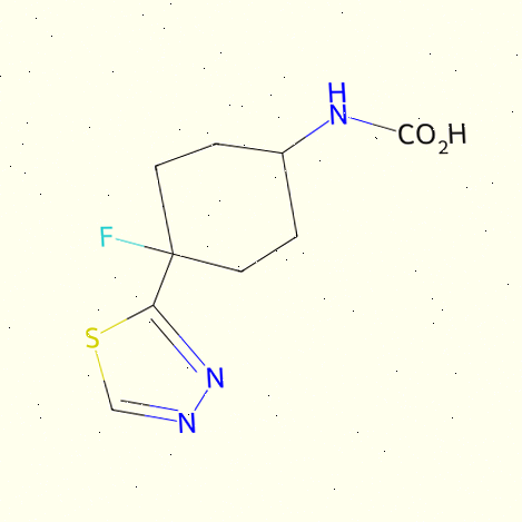 O=C(O)NC1CCC(F)(c2nncs2)CC1